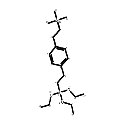 CCO[Si](CCc1ccc(CC[Si](C)(C)C)cc1)(OCC)OCC